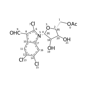 CC(=O)OC[C@H]1O[C@@H](n2c(Cl)c(C=O)c3cc(Cl)c(Cl)cc32)C(O)C1O